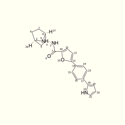 O=C(N[C@@H]1C[C@H]2CC[C@@H]1N2)c1ccc(-c2ccc(-c3ccc[nH]3)cc2)o1